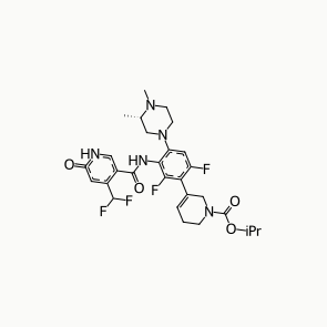 CC(C)OC(=O)N1CCC=C(c2c(F)cc(N3CCN(C)[C@@H](C)C3)c(NC(=O)c3c[nH]c(=O)cc3C(F)F)c2F)C1